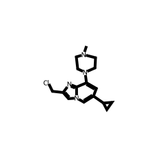 CN1CCN(c2cc(C3CC3)cn3cc(CCl)nc23)CC1